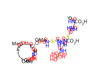 CO[C@H]1C[C@@H]2CC[C@@H](C)[C@@](O)(O2)C(=O)C(=O)N2CCCC[C@H]2C(=O)O[C@H]([C@H](C)C[C@@H]2CC[C@@H](OCCOC(=O)NCCSSCCC(=O)NC[C@H](NC(=O)[C@@H](C)CCC(=O)NC[C@H](O)[C@@H](O)[C@H](O)[C@H](O)CO)C(=O)N[C@@H](CSSCCOC(=O)NNC(=O)CC[C@H](NC(=O)c3ccc(C)cc3)C(=O)O)C(=O)O)[C@H](OC)C2)CC(=O)[C@H](C)/C=C(\C)[C@@H](O)[C@@H](OC)C(=O)[C@H](C)C[C@H](C)/C=C/C=C/C=C/1C